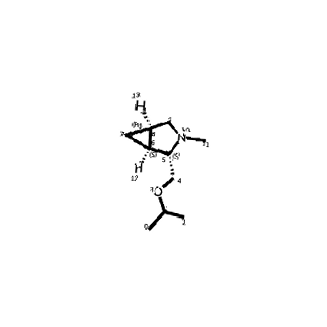 CC(C)OC[C@@H]1[C@H]2C[C@H]2CN1C